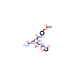 CC(C)C(=O)OCc1ccc(NC(=O)[C@@H](CCCNC(N)=O)NC(=O)[C@H](NC(=O)CN2C(=O)C=CC2=O)C(C)C)cc1